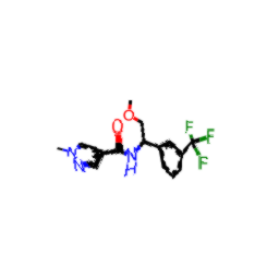 COCC(NC(=O)c1cnn(C)c1)c1cccc(C(F)(F)F)c1